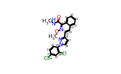 CNC(=O)C(=NOC)c1ccccc1C=Cc1ccn(-c2ccc(Cl)cc2Cl)n1